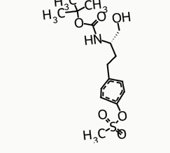 CC(C)(C)OC(=O)N[C@H](CO)CCc1ccc(OS(C)(=O)=O)cc1